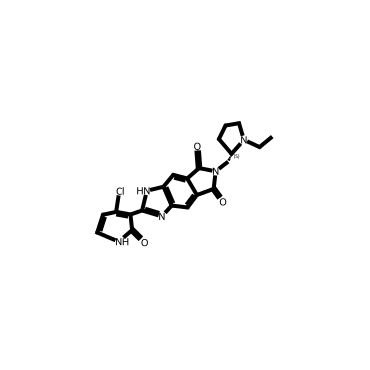 CCN1CCC[C@H]1CN1C(=O)c2cc3nc(-c4c(Cl)cc[nH]c4=O)[nH]c3cc2C1=O